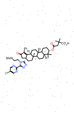 CNCCn1c(-c2ncc(Cl)cn2)nnc1[C@@]12CC[C@]3(C)[C@H](CC[C@@H]4[C@@]5(C)CC[C@H](OC(=O)CC(C)(C)C(=O)O)C(C)(C)[C@@H]5CC[C@]43C)C1=C(C(C)C)C(=O)C2